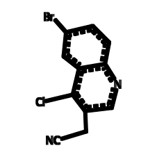 N#CCc1cnc2ccc(Br)cc2c1Cl